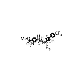 COC(=O)c1ccc(NC(=S)N/N=C(/C)c2csc(-c3ccc(C(F)(F)F)cc3)c2O)cc1[N+](=O)[O-]